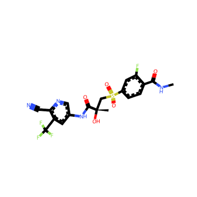 CNC(=O)c1ccc(S(=O)(=O)C[C@](C)(O)C(=O)Nc2cnc(C#N)c(C(F)(F)F)c2)cc1F